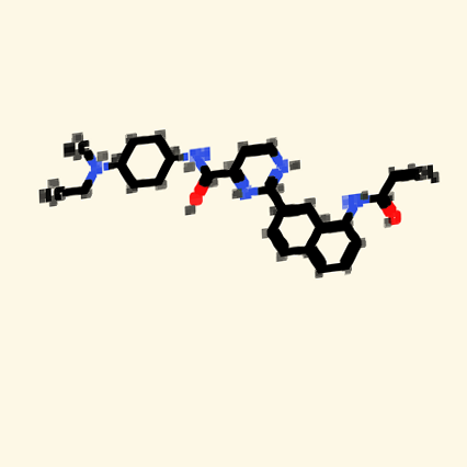 C=CC(=O)Nc1cccc2ccc(-c3nccc(C(=O)N[C@H]4CC[C@@H](N(C)CC)CC4)n3)cc12